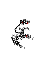 CC#C[C@]12CC[C@H]3[C@@H]4CCC5=CC(=O)CCC5=C4[C@@H](c4ccc(N(C)CCCC(=O)N5CCN(C(=O)OC(C)(C)C)CC5C(=O)N5CCN(C(=O)OC(C)(C)C)CC5C(=O)NCCCCCCCCCCCCCNc5cccc6c5C(=O)N(C5CCC(=O)NC5=O)C6=O)cc4)C[C@@]31CO2